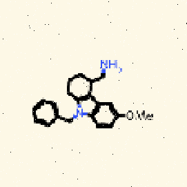 COc1ccc2c(c1)c1c(n2Cc2ccccc2)CCCC1CN